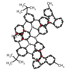 Cc1cc2c3c(c1)N(c1c(-c4ccccc4)cc(C(C)(C)C)cc1-c1ccccc1)c1cc(-n4c5ccccc5c5cc(C)ccc54)ccc1B3c1ccc(-n3c4ccccc4c4cc(C)ccc43)cc1N2c1c(-c2ccccc2)cc(C(C)(C)C)cc1-c1ccccc1